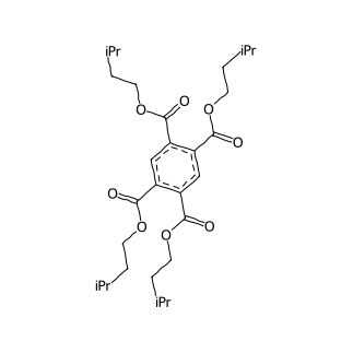 CC(C)CCOC(=O)c1cc(C(=O)OCCC(C)C)c(C(=O)OCCC(C)C)cc1C(=O)OCCC(C)C